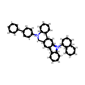 c1ccc(-c2ccc(N3Cc4cc5c6ccccc6n(-c6cccc7ccccc67)c5cc4-c4ccccc43)cc2)cc1